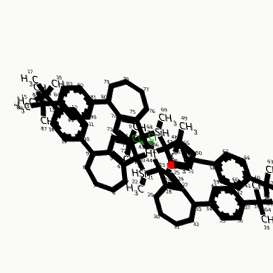 CC1=CC2=C(CCCCC2c2ccc(C(C)(C)C)cc2)[C]12[SiH](C)[C]1(C(C)=CC3=C1CCCCC3c1ccc(C(C)(C)C)cc1)[Hf]21([Cl])([Cl])[C]2(C(C)=CC3=C2CCCCC3c2ccc(C(C)(C)C)cc2)[SiH](C)[C]12C(C)=CC1=C2CCCCC1c1ccc(C(C)(C)C)cc1